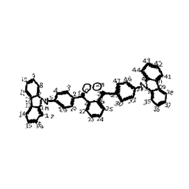 O=C(c1ccc(-n2c3ccccc3c3ccccc32)cc1)c1ccccc1C(=O)c1ccc(-n2c3ccccc3c3ccccc32)cc1